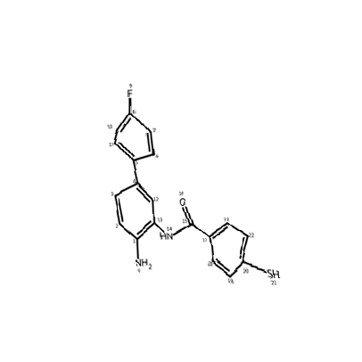 Nc1ccc(-c2ccc(F)cc2)cc1NC(=O)c1ccc(S)cc1